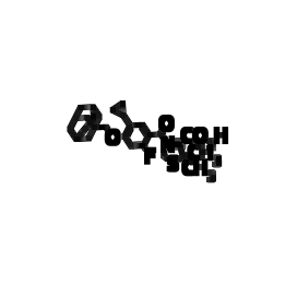 CC1(C)SCN(C(=O)c2cc(C3CC3)c(OCC34CC5CC(CC(C5)C3)C4)cc2F)[C@@H]1C(=O)O